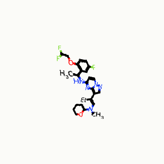 CC/C(=C\N(C)C1CCCCO1)c1cnn2ccc(NC(C)c3cc(F)ccc3OCC(F)F)nc12